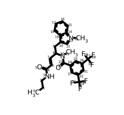 CCCNC(=O)C=CC(Cc1cn(C)c2ccccc12)N(C)C(=O)c1cc(C(F)(F)F)cc(C(F)(F)F)c1